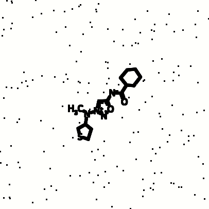 CN(C1CCSC1)[n+]1cc([N-]C(=O)C2CCCCC2)on1